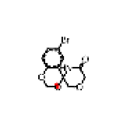 O=C1COCC2(N1)c1cc(Br)ccc1OCC21COC1